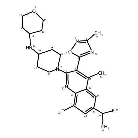 Cc1noc(-c2c(N3CCC(NC4CCOCC4)CC3)nc3c(F)cc(C(C)F)cc3c2C)n1